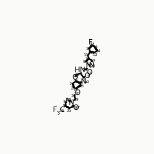 CN1C(=O)[C@@H](NC(=O)n2cc(Cc3cccc(F)c3)cn2)COc2ccc(OCCn3ncc(C(F)(F)F)cc3=O)cc21